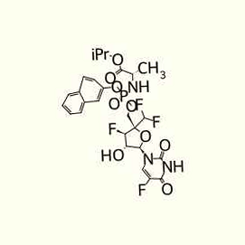 CC(C)OC(=O)[C@H](C)NP(=O)(OC[C@@]1(C(F)F)O[C@@H](n2cc(F)c(=O)[nH]c2=O)[C@H](O)[C@H]1F)Oc1ccc2ccccc2c1